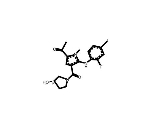 CC(=O)c1cc(C(=O)N2CC[C@H](O)C2)c(Nc2ccc(I)cc2F)n1C